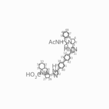 CC(=O)N[C@@H](C(=O)N1CCC[C@H]1c1ncc(-c2ccc(-c3ccc(-c4cnc([C@@H]5CCCN5C[C@@H]5CCCC[C@H]5NC(=O)O)[nH]4)cc3)cc2)[nH]1)c1ccccc1